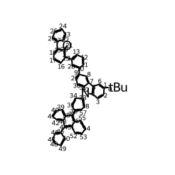 CC(C)(C)c1ccc2c(c1)c1cc(-c3cccc(-c4cccc5c4oc4ccccc45)c3)ccc1n2-c1ccc(-c2c3ccccc3c(-c3ccccc3)c3ccccc23)cc1